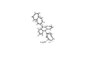 O=[N+]([O-])c1cc(-c2c3ccccc3c(-c3ccc4ccccc4c3)c3ccccc23)ccc1F